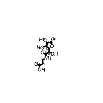 O=C(O)CCNC(=O)[C@H](O)[C@H]1OC(=O)C(O)=C1O